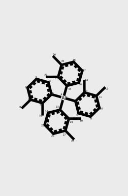 Cc1ccc[c]([Al-]([c]2cccc(C)c2C)([c]2cccc(C)c2C)[c]2cccc(C)c2C)c1C